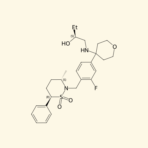 CC[C@H](O)CNC1(c2ccc(CN3[C@@H](C)CC[C@H](c4ccccc4)S3(=O)=O)c(F)c2)CCOCC1